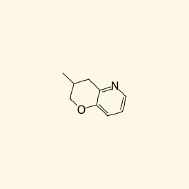 CC1COc2cccnc2C1